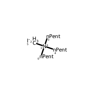 CCCCC[N+](C)(CCCCC)CCCCC.[I-]